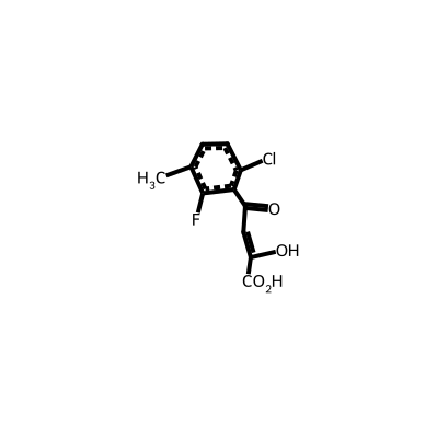 Cc1ccc(Cl)c(C(=O)/C=C(\O)C(=O)O)c1F